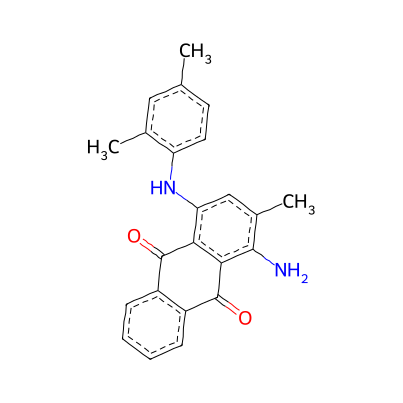 Cc1ccc(Nc2cc(C)c(N)c3c2C(=O)c2ccccc2C3=O)c(C)c1